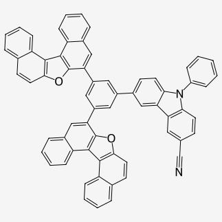 N#Cc1ccc2c(c1)c1cc(-c3cc(-c4cc5ccccc5c5c4oc4ccc6ccccc6c45)cc(-c4cc5ccccc5c5c4oc4ccc6ccccc6c45)c3)ccc1n2-c1ccccc1